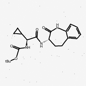 CC(C)(C)OC(=O)N[C@H](C(=O)N[C@H]1CCc2ccccc2NC1=O)C1CC1